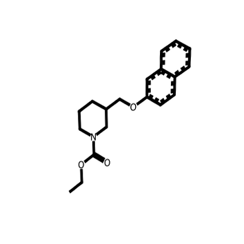 CCOC(=O)N1CCCC(COc2ccc3ccccc3c2)C1